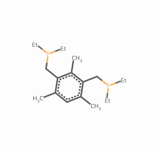 CCP(CC)Cc1c(C)cc(C)c(CP(CC)CC)c1C